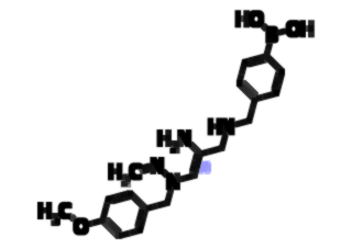 C=NN(/C=C(\N)CNCc1ccc(B(O)O)cc1)Cc1ccc(OC)cc1